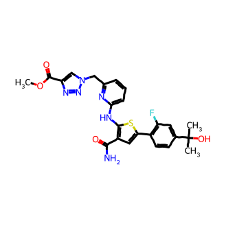 COC(=O)c1cn(Cc2cccc(Nc3sc(-c4ccc(C(C)(C)O)cc4F)cc3C(N)=O)n2)nn1